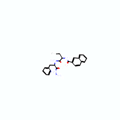 CC(C)CC(NC(=O)c1ccc2ccccc2c1)C(=O)NC(Cc1ccccc1)C(=O)NN